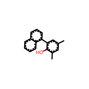 Cc1cc(C)c(O)c(-c2cccc3ccccc23)c1